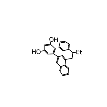 [CH2]CC(Cc1cc(-c2cc(O)cc(O)c2)cc2ccccc12)c1ccccc1